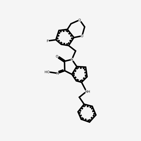 O=C1/C(=N\O)c2cc(NCc3ccccc3)ccc2N1Cc1cc(F)cc2c1OCOC2